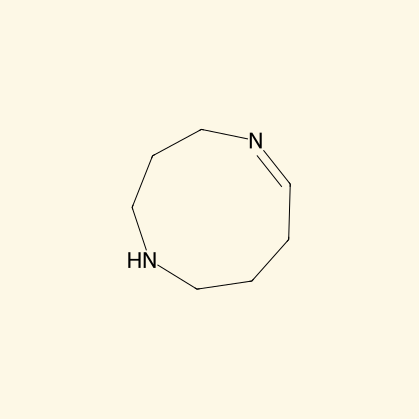 C1=NCCCNCCC1